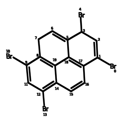 BrC1=CC(Br)C2=CCc3c(Br)cc(Br)c4ccc1c2c34